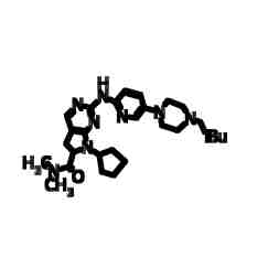 CCC(C)CN1CCN(c2ccc(Nc3ncc4c(n3)N(C3CCCC3)C(C(=O)N(C)C)C4)nc2)CC1